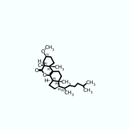 CO[C@H]1CC[C@]2(C)C3=C(OC(=O)[C@]2(C)C1)[C@@H]1CC[C@H]([C@H](C)CCCC(C)C)[C@@]1(C)CC3